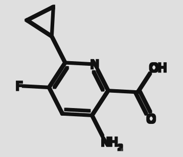 Nc1cc(F)c(C2CC2)nc1C(=O)O